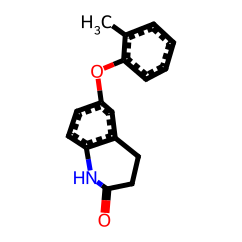 Cc1ccccc1Oc1ccc2c(c1)CCC(=O)N2